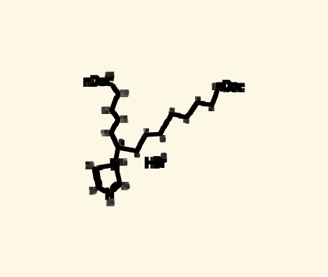 Br.CCCCCCCCCCCCCCCCCC(CCCCCCCCCCCCCC)n1ccnc1